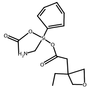 CCC1(CC(=O)O[Si](CN)(OC(C)=O)c2ccccc2)COC1